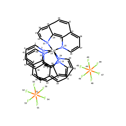 C1=C[N]2c3c4c(ccc3=C1)=CC=C[N]4[Co]213([N]2C=CC=c4ccc5c(c42)[N]1C=CC=5)[N]1C=CC=c2ccc4c(c21)[N]3C=CC=4.F[P-](F)(F)(F)(F)F.F[P-](F)(F)(F)(F)F